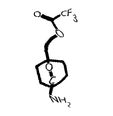 NC12CCC(COC(=O)C(F)(F)F)(CC1)OC2